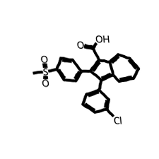 CS(=O)(=O)c1ccc(-c2c(C(=O)O)c3cccccc-3c2-c2cccc(Cl)c2)cc1